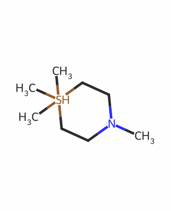 CN1CC[SH](C)(C)(C)CC1